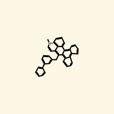 CN/C=C\c1c(Cc2cccc(-c3ccccc3)c2)c2c3ccccc3c3ccccc3c2c2ccccc12